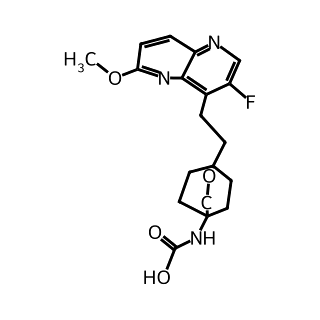 COc1ccc2ncc(F)c(CCC34CCC(NC(=O)O)(CC3)CO4)c2n1